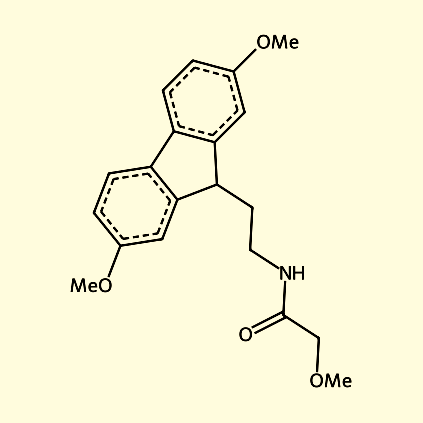 COCC(=O)NCCC1c2cc(OC)ccc2-c2ccc(OC)cc21